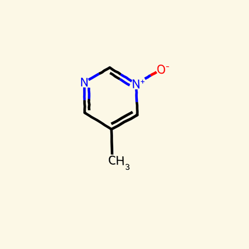 Cc1cnc[n+]([O-])c1